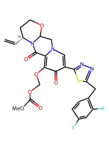 C=C[C@@H]1CCOC2Cn3cc(-c4nnc(Cc5ccc(F)cc5F)s4)c(=O)c(OCOC(=O)OC)c3C(=O)N21